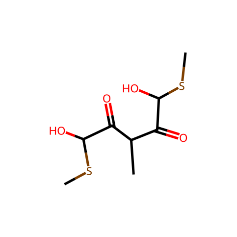 CSC(O)C(=O)C(C)C(=O)C(O)SC